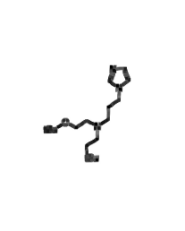 CC(C)(C)CCN(CCCn1ccnc1)CCOC(C)(C)C